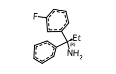 [CH2]C[C@@](N)(c1ccccc1)c1cccc(F)c1